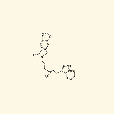 CN(CCCN1Cc2cc3c(cc2C1=O)OCO3)CCc1c[nH]c2ccccc12